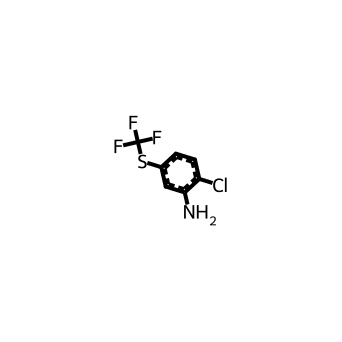 Nc1cc(SC(F)(F)F)ccc1Cl